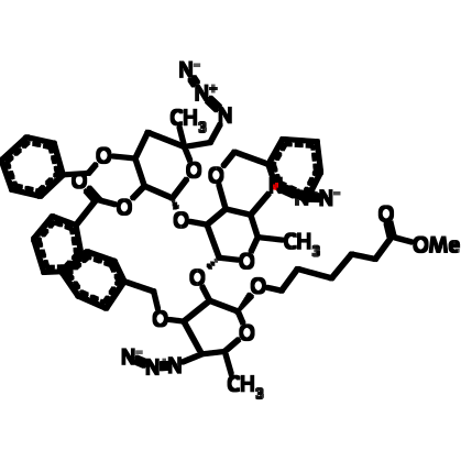 COC(=O)CCCCCO[C@H]1OC(C)C(N=[N+]=[N-])C(OCc2ccccc2)C1O[C@H]1OC(C)C(N=[N+]=[N-])C(OCc2ccccc2)C1O[C@H]1OC(C)(CN=[N+]=[N-])CC(OCc2ccccc2)C1OC(=O)c1ccccc1